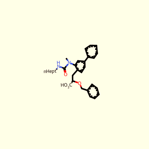 CCCCCCCNC(=O)N(C)c1cc(-c2ccccc2)ccc1CC(OCc1ccccc1)C(=O)O